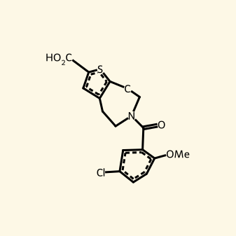 COc1ccc(Cl)cc1C(=O)N1CCc2cc(C(=O)O)sc2CC1